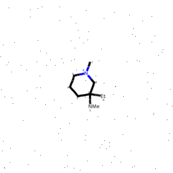 CCC1(NC)CCCN(C)C1